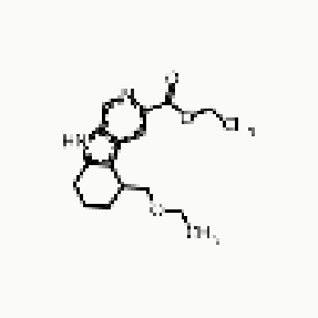 CCOCC1CCCc2[nH]c3cnc(C(=O)OCC)cc3c21